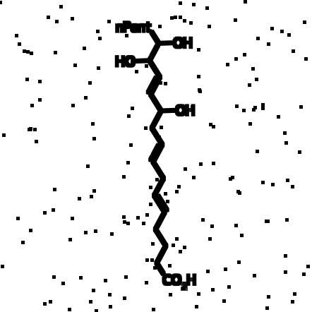 CCCCCC(O)C(O)C=CC(O)CC=CCC=CCCCC(=O)O